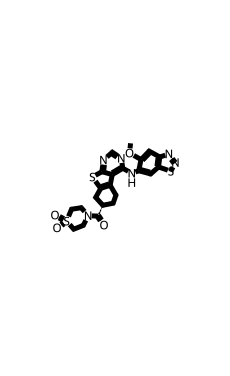 COc1cc2nnsc2cc1Nc1ncnc2sc3c(c12)CC[C@H](C(=O)N1CCS(=O)(=O)CC1)C3